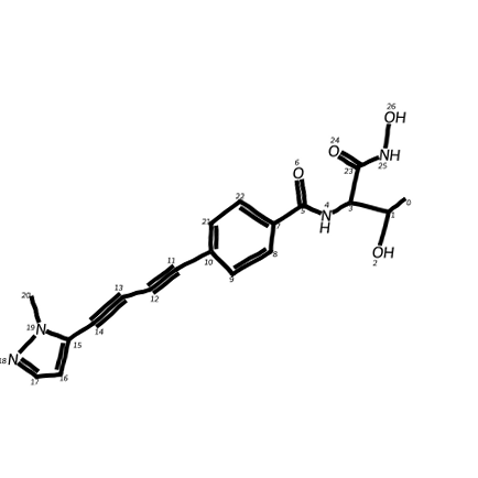 CC(O)C(NC(=O)c1ccc(C#CC#Cc2ccnn2C)cc1)C(=O)NO